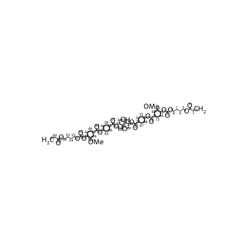 C=CC(=O)OCCCCOC(=O)Oc1ccc(C(=O)Oc2ccc(C(=O)O[C@H]3CO[C@H]4[C@@H]3OC[C@H]4OC(=O)c3ccc(OC(=O)c4ccc(OC(=O)OCCCCOC(=O)C=C)c(OC)c4)cc3)cc2)cc1OC